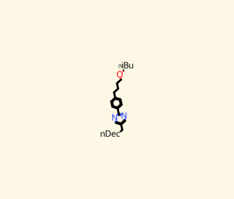 CCCCCCCCCCCc1cnc(-c2ccc(CCCCOC[C@@H](C)CC)cc2)nc1